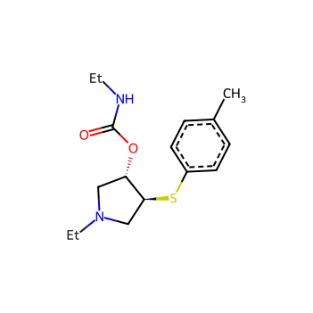 CCNC(=O)O[C@H]1CN(CC)C[C@@H]1Sc1ccc(C)cc1